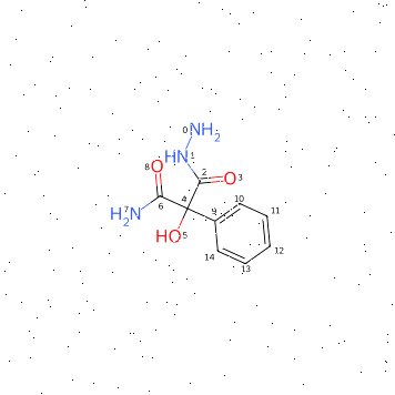 NNC(=O)C(O)(C(N)=O)c1ccccc1